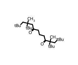 CC(C)(C)CC(C)(CC(=O)CCCC(=O)C(C)(CC(C)(C)C)C(C)(C)C)C(C)(C)C